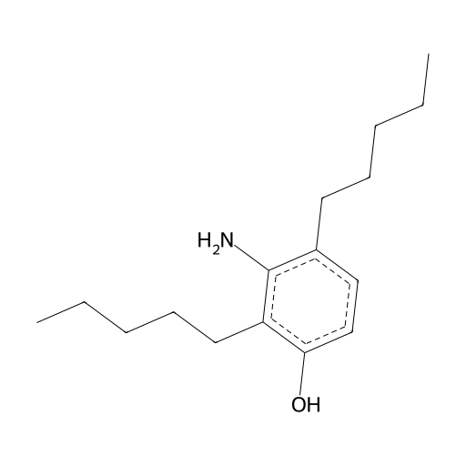 CCCCCc1ccc(O)c(CCCCC)c1N